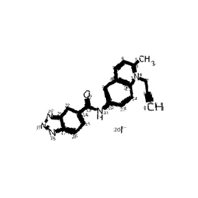 C#CC[n+]1c(C)ccc2cc(NC(=O)C3=CC=C4N=NN=C4C3)ccc21.[I-]